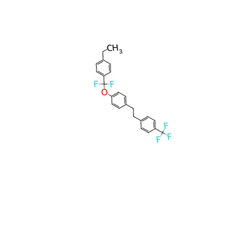 CCc1ccc(C(F)(F)Oc2ccc(CCc3ccc(C(F)(F)F)cc3)cc2)cc1